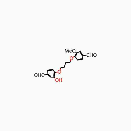 COc1cc(C=O)ccc1OCCCCOc1ccc(C=O)cc1O